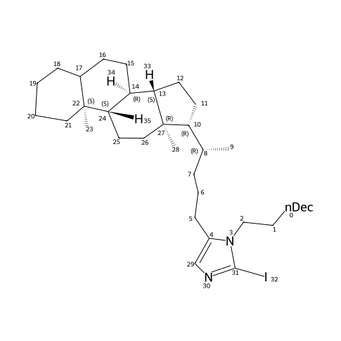 CCCCCCCCCCCCn1c(CCC[C@@H](C)[C@H]2CC[C@H]3[C@@H]4CCC5CCCC[C@]5(C)[C@H]4CC[C@]23C)cnc1I